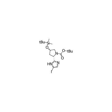 CC(C)(C)OC(=O)N1C[C@H](O[Si](C)(C)C(C)(C)C)C[C@H]1c1ncc(I)[nH]1